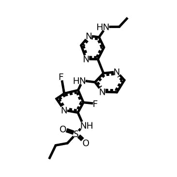 CCCS(=O)(=O)Nc1ncc(F)c(Nc2nccnc2-c2cc(NCC)ncn2)c1F